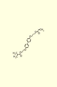 C=CC(=O)OCCCOc1ccc(-c2ccc(OCCOC(=O)C(=C)C)cc2)cc1